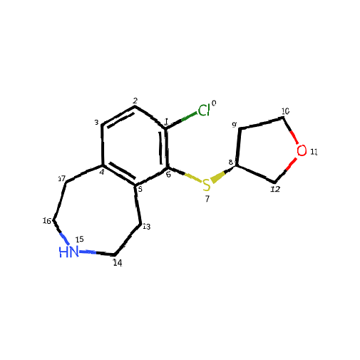 Clc1ccc2c(c1S[C@H]1CCOC1)CCNCC2